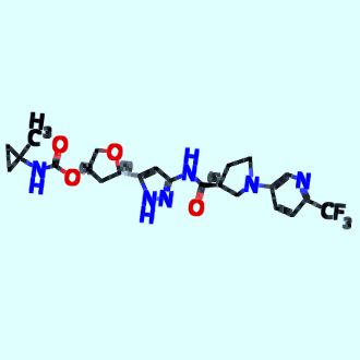 CC1(NC(=O)O[C@@H]2CO[C@H](c3cc(NC(=O)[C@H]4CCN(c5ccc(C(F)(F)F)nc5)C4)n[nH]3)C2)CC1